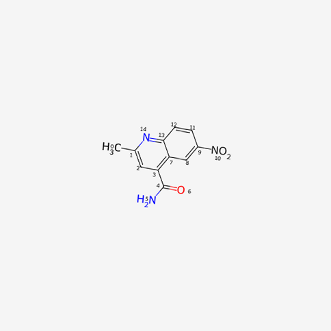 Cc1cc(C(N)=O)c2cc([N+](=O)[O-])ccc2n1